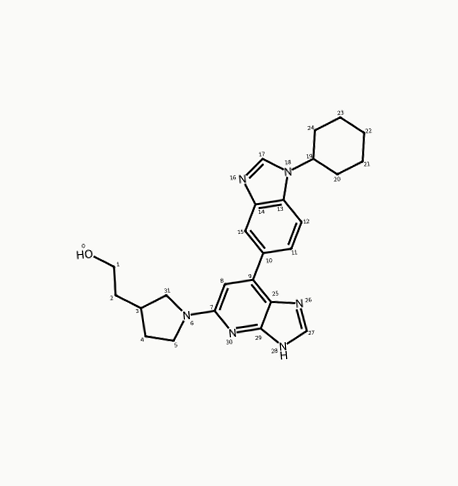 OCCC1CCN(c2cc(-c3ccc4c(c3)ncn4C3CCCCC3)c3nc[nH]c3n2)C1